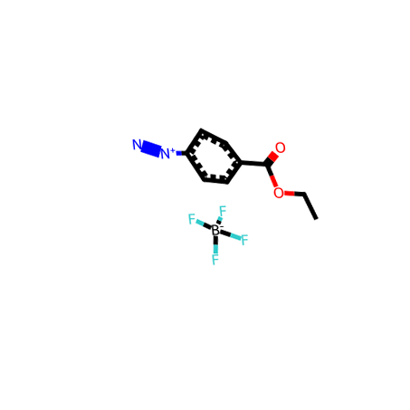 CCOC(=O)c1ccc([N+]#N)cc1.F[B-](F)(F)F